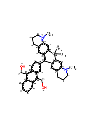 CN1CCCc2cc3c(cc21)[Si](C)(C)c1cc2c(cc1=C3c1ccc3c(CO)c4ccccc4c(CO)c3c1)CCC[N+]=2C